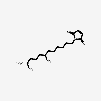 NC(CCCCCCN1C(=O)C=CC1=O)CCC[C@H](N)C(=O)O